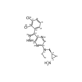 CCN(C[C@H]1C[C@@H]1N)c1cnc2c(-c3cccc(Cl)c3Cl)n[nH]c2n1